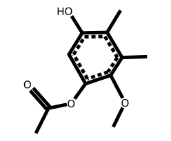 COc1c(OC(C)=O)cc(O)c(C)c1C